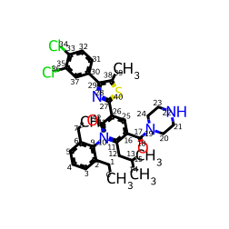 CCc1cccc(CC)c1-n1c(CC(C)C)c(C(=O)N2CCNCC2)cc(-c2nc(-c3ccc(Cl)c(Cl)c3)c(C)s2)c1=O